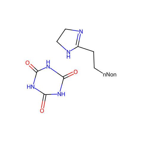 CCCCCCCCCCCC1=NCCN1.O=c1[nH]c(=O)[nH]c(=O)[nH]1